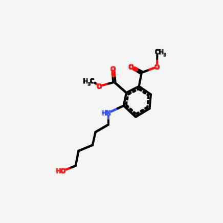 COC(=O)c1cccc(NCCCCCO)c1C(=O)OC